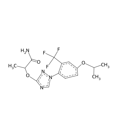 CC(C)Oc1ccc(-n2cnc(OC(C)C(N)=O)n2)c(C(F)(F)F)c1